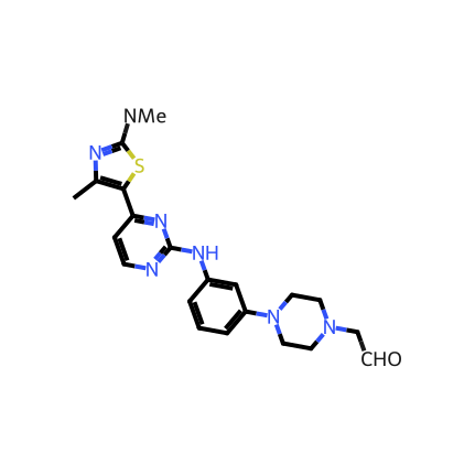 CNc1nc(C)c(-c2ccnc(Nc3cccc(N4CCN(CC=O)CC4)c3)n2)s1